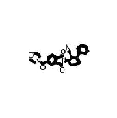 N#Cc1c(-c2ccccc2)cccc1N1C(=O)c2ccc(C(=O)N3CCOCC3)cc2C1=O